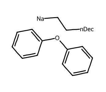 CCCCCCCCCCC[CH2][Na].c1ccc(Oc2ccccc2)cc1